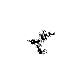 Cc1nnc(SCC2=C(C(=O)O)N3C(=O)C(NC(=O)C(NC(=O)c4ccc(O)c(Cl)c4)c4ccc(O)cc4)[C@H]3SC2)s1